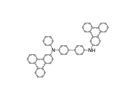 c1ccc(N(c2ccc(-c3ccc(Nc4ccc5c6ccccc6c6ccccc6c5c4)cc3)cc2)c2ccc3c4ccccc4c4ccccc4c3c2)cc1